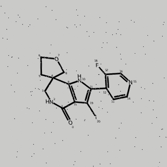 O=C1NCC2(CCOC2)c2[nH]c(-c3ccncc3F)c(I)c21